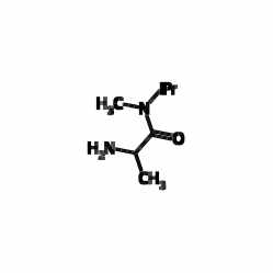 CC(N)C(=O)N(C)C(C)C